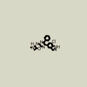 CN1CC(Oc2nc(-c3cc(Cl)c4[nH]ncc4c3)c(-c3ccccc3)nc2N)C1